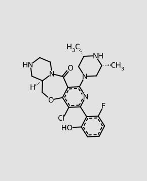 C[C@@H]1CN(c2nc(-c3c(O)cccc3F)c(Cl)c3c2C(=O)N2CCNC[C@@H]2CO3)C[C@H](C)N1